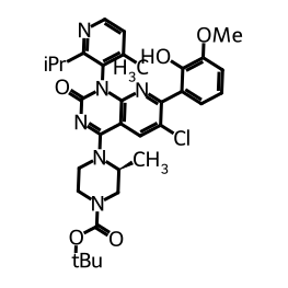 COc1cccc(-c2nc3c(cc2Cl)c(N2CCN(C(=O)OC(C)(C)C)C[C@@H]2C)nc(=O)n3-c2c(C)ccnc2C(C)C)c1O